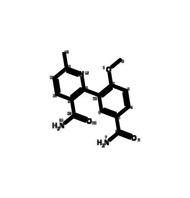 COc1ccc(C(N)=O)cc1-c1nc(C)ccc1C(N)=O